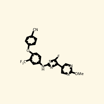 COc1ncc(-c2nc(Nc3ccc(Oc4ccc(C#N)cc4)c(C(F)(F)F)c3)sc2F)cn1